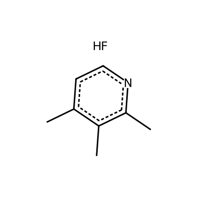 Cc1ccnc(C)c1C.F